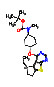 CC[C@@H]1CCc2sc3ncnc(O[C@H]4CC[C@H](N(C)C(=O)OC(C)(C)C)CC4)c3c21